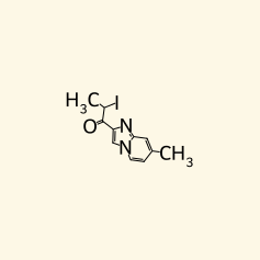 Cc1ccn2cc(C(=O)C(C)I)nc2c1